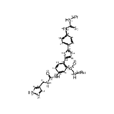 CC(C)NC(=S)Nc1ccc(-c2ncc(-c3ccc(NC(=O)NCc4cn[nH]c4)cc3[S+]([O-])NC(C)(C)C)s2)cc1